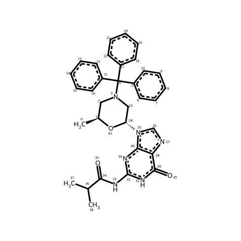 [CH2][C@H]1CN(C(c2ccccc2)(c2ccccc2)c2ccccc2)C[C@H](n2cnc3c(=O)[nH]c(NC(=O)C(C)C)nc32)O1